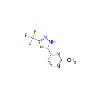 Cc1nccc(-c2cc(C(F)(F)F)n[nH]2)n1